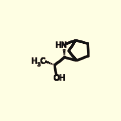 C[C@@H](O)[C@@H]1NC2CCC1C2